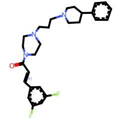 O=C(/C=C/c1cc(F)cc(F)c1)N1CCN(CCCN2CCC(c3ccccc3)CC2)CC1